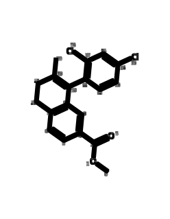 COC(=O)c1ccc2c(c1)C(c1ccc(Cl)cc1Cl)=C(C)CC2